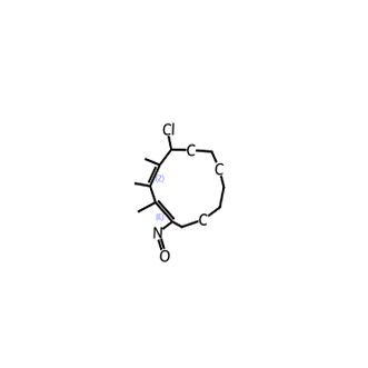 CC1=C(\C)C(Cl)CCCCCCC/C(N=O)=C\1C